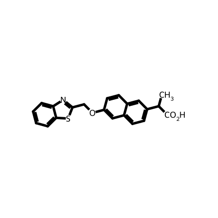 CC(C(=O)O)c1ccc2cc(OCc3nc4ccccc4s3)ccc2c1